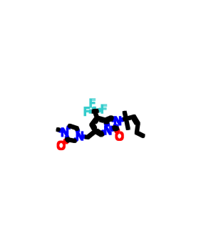 CC/C=C\C(C)(C)n1cc2c(C(F)(F)F)cc(CN3CCN(C)C(=O)C3)cn2c1=O